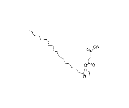 CCCCCCCCCCCCCCCC=CC1=NCCN1OC(=O)CCC(=O)O